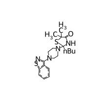 CCCCC1(N2CCN(c3nsc4ccccc34)CC2)NC(=O)C(C)(C)S1